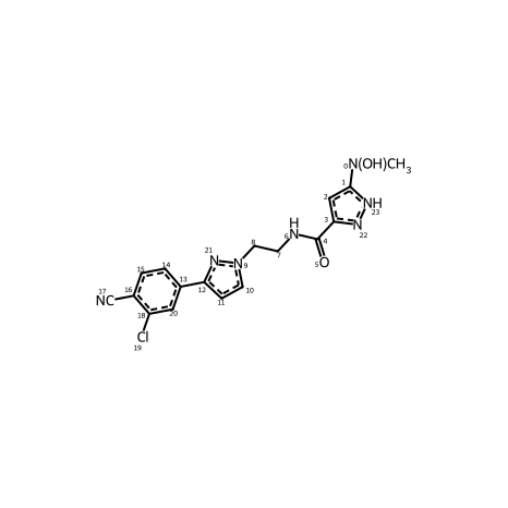 CN(O)c1cc(C(=O)NCCn2ccc(-c3ccc(C#N)c(Cl)c3)n2)n[nH]1